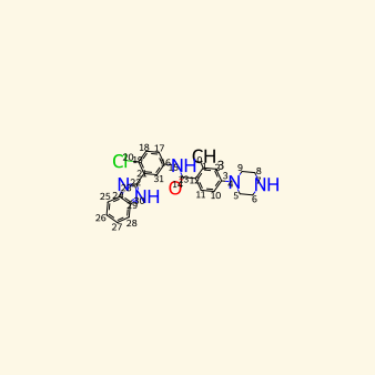 Cc1cc(N2CCNCC2)ccc1C(=O)Nc1ccc(Cl)c(-c2nc3ccccc3[nH]2)c1